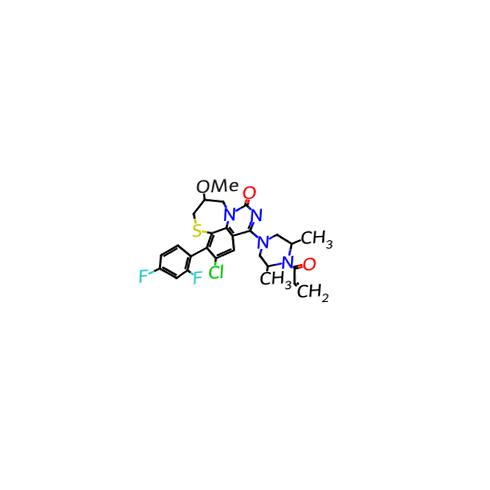 C=CC(=O)N1C(C)CN(c2nc(=O)n3c4c(c(-c5ccc(F)cc5F)c(Cl)cc24)SCC(OC)C3)CC1C